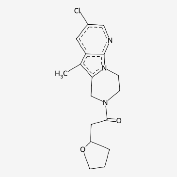 Cc1c2n(c3ncc(Cl)cc13)CCN(C(=O)CC1CCCO1)C2